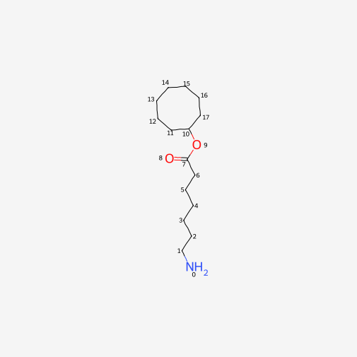 NCCCCCCC(=O)OC1CCCCCCC1